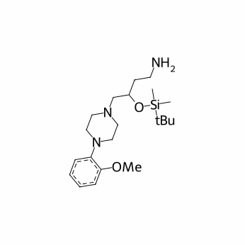 COc1ccccc1N1CCN(CC(CCN)O[Si](C)(C)C(C)(C)C)CC1